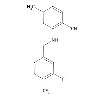 Cc1ccc(C#N)c(NCc2ccc(C(F)(F)F)c(F)c2)c1